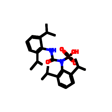 CC(C)c1cccc(C(C)C)c1NC(=O)N(c1c(C(C)C)cccc1C(C)C)S(=O)(=O)O